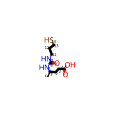 C[C@H](CCC(=O)O)NC(=O)NCCCS